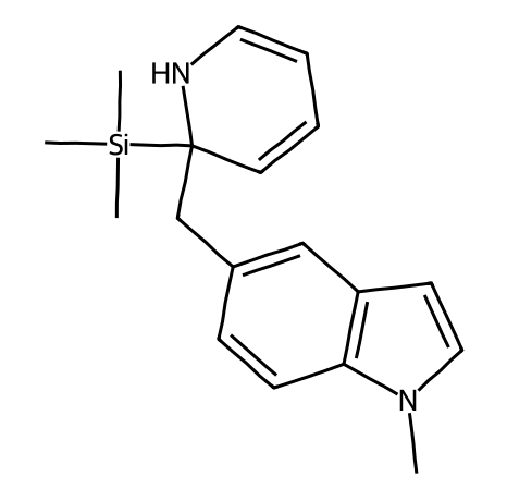 Cn1ccc2cc(CC3([Si](C)(C)C)C=CC=CN3)ccc21